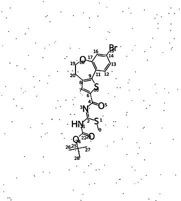 CSC(=NC(=O)c1cc2c(s1)-c1ccc(Br)cc1OCC2)NC(=O)OC(C)(C)C